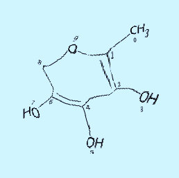 CC1=C(O)C(O)=C(O)CO1